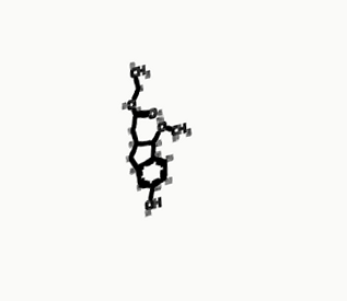 CCOC(=O)CC1Cc2cc(O)ccc2C1OC